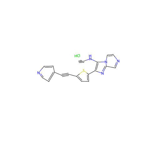 CC(C)(C)Nc1c(-c2ccc(C#Cc3ccncc3)s2)nc2cnccn12.Cl